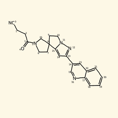 N#CCCC(=O)N1CCC2(CCn3nc(-c4cnc5ccccc5c4)cc32)C1